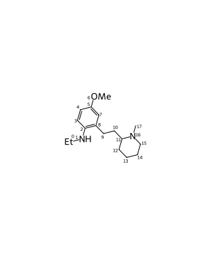 CCNc1ccc(OC)cc1CCC1CCCCN1C